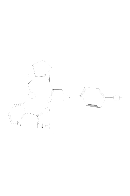 NC(=O)c1ncccc1OC[C@H]1CCCN1C(=O)COc1ccc(C(F)(F)F)cc1